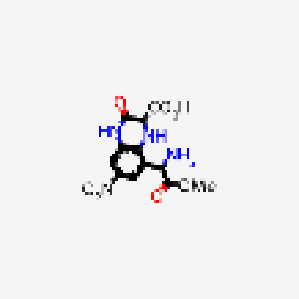 COC(=O)C(N)c1cc([N+](=O)[O-])cc2c1NC(C(=O)O)C(=O)N2